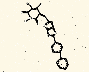 CCN1C(=O)C(C#N)=C(C)/C(=C/c2cc3sc(-c4ccc(-c5ccccc5)cc4)nc3o2)C1=O